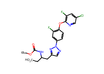 CC(C)(C)OC(=O)NC(CC(=O)O)Cc1cnn(-c2ccc(Oc3ncc(Cl)cc3F)c(F)c2)n1